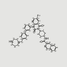 O=C(NC1CCC(n2c(=O)c3cc(F)cnc3n(-c3cccc(-c4ccc(CN5CCCNCC5)cc4)c3)c2=O)CC1)c1cc2ccccc2cn1